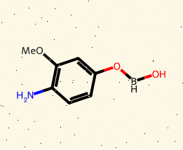 COc1cc(OBO)ccc1N